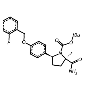 CC(C)(C)OC(=O)N1[C@H](c2ccc(OCc3ccccc3F)cc2)CC[C@]1(C)C(N)=O